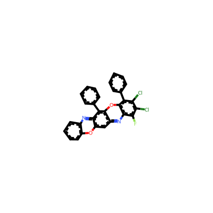 Fc1c(Cl)c(Cl)c(-c2ccccc2)c2c1N=c1cc3c(c(-c4ccccc4)c1O2)=Nc1ccccc1O3